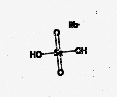 O=[Se](=O)(O)O.[Rb]